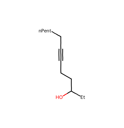 CCCCCCC#CCCC(O)CC